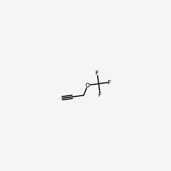 [C]#CCOC(F)(F)F